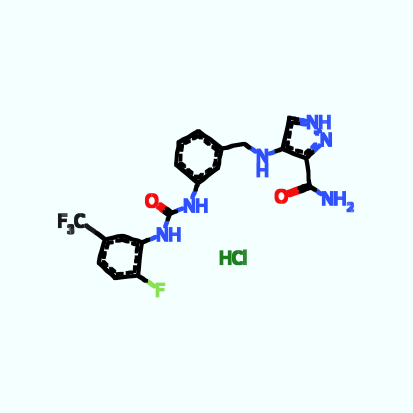 Cl.NC(=O)c1n[nH]cc1NCc1cccc(NC(=O)Nc2cc(C(F)(F)F)ccc2F)c1